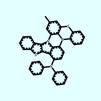 Cc1cc2c3c(c1)-n1c4c(ccc(N(c5ccccc5)c5ccccc5)c4c4sc5ccccc5c41)B3c1ccccc1S2